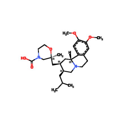 COc1cc2c(cc1OC)[C@H]1C[C@H](C[C@@]3(C)CN(C(=O)O)CCO3)[C@H](CC(C)C)CN1CC2